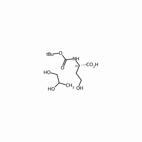 CC(C)(C)OC(=O)N[C@@H](CCO)C(=O)O.CC(O)CO